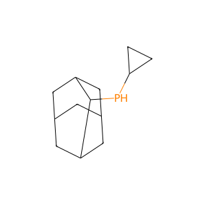 C1C2CC3CC1CC(C2)C3PC1CC1